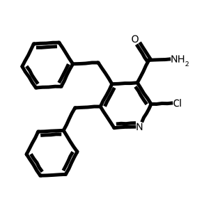 NC(=O)c1c(Cl)ncc(Cc2ccccc2)c1Cc1ccccc1